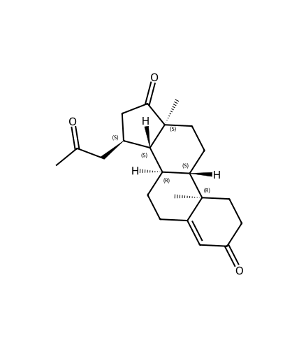 CC(=O)C[C@H]1CC(=O)[C@@]2(C)CC[C@H]3[C@@H](CCC4=CC(=O)CC[C@@]43C)[C@H]12